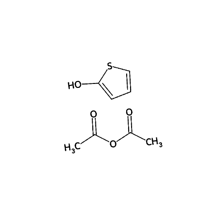 CC(=O)OC(C)=O.Oc1cccs1